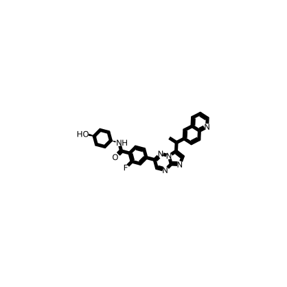 CC(c1ccc2ncccc2c1)c1cnc2ncc(-c3ccc(C(=O)N[C@H]4CC[C@H](O)CC4)c(F)c3)nn12